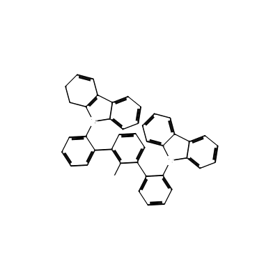 Ic1c(-c2ccccc2-n2c3c(c4ccccc42)C=CCC3)cccc1-c1ccccc1-n1c2ccccc2c2ccccc21